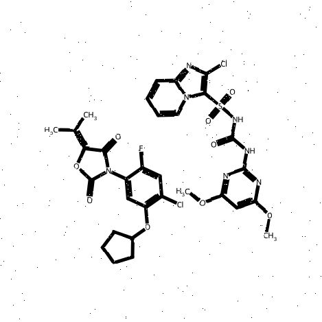 CC(C)=C1OC(=O)N(c2cc(OC3CCCC3)c(Cl)cc2F)C1=O.COc1cc(OC)nc(NC(=O)NS(=O)(=O)c2c(Cl)nc3ccccn23)n1